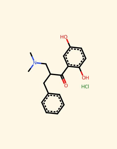 CN(C)CC(Cc1ccccc1)C(=O)c1cc(O)ccc1O.Cl